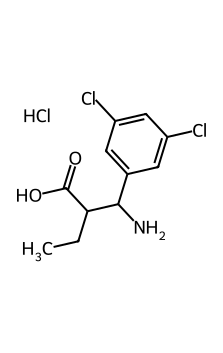 CCC(C(=O)O)C(N)c1cc(Cl)cc(Cl)c1.Cl